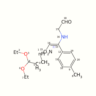 CCCC.CCOC(C)OCC.Cc1ccc(/C(=C\[N+](=O)[O-])NCC=O)cc1